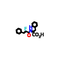 O=C(N[C@H](Cc1ccccc1)C(=O)O)C(F)=Cc1ccccc1